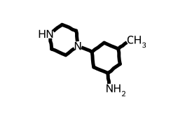 CC1CC(N)CC(N2CCNCC2)C1